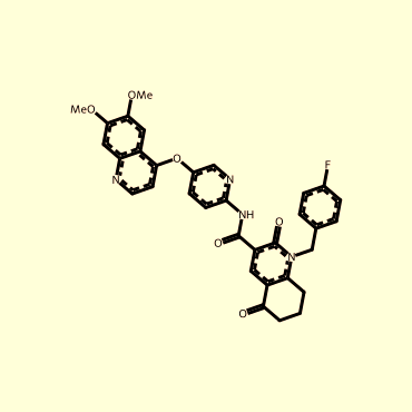 COc1cc2nccc(Oc3ccc(NC(=O)c4cc5c(n(Cc6ccc(F)cc6)c4=O)CCCC5=O)nc3)c2cc1OC